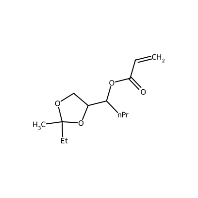 C=CC(=O)OC(CCC)C1COC(C)(CC)O1